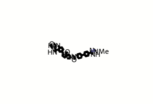 CN/C=N\C(=N)c1ccc(C2=CCN(C(=O)CN3CC[C@]4(CCN(c5ccc(N)c(C(=N)N6CCOCC6)c5)C4=O)C3)CC2)cc1